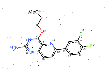 COCCOc1nc(N)nc2ccc(-c3ccc(F)c(Cl)c3)nc12